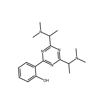 CC(c1nc(-c2ccccc2O)nc(C(C)N(C)C)n1)N(C)C